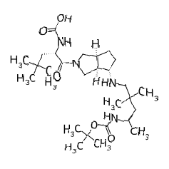 CC(CC(C)(C)CN[C@H]1CC[C@@H]2CN(C(=O)[C@H](CC(C)(C)C)NC(=O)O)C[C@@H]21)NC(=O)OC(C)(C)C